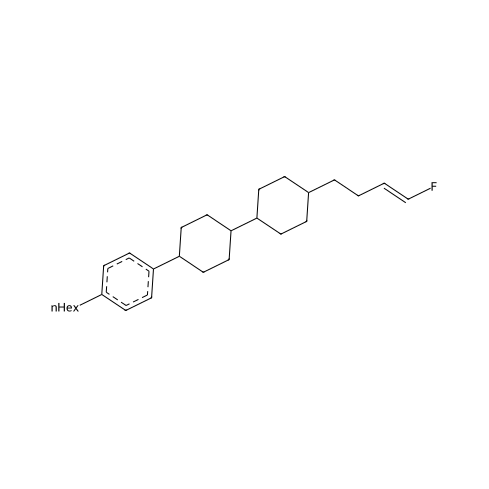 CCCCCCc1ccc(C2CCC(C3CCC(CCC=CF)CC3)CC2)cc1